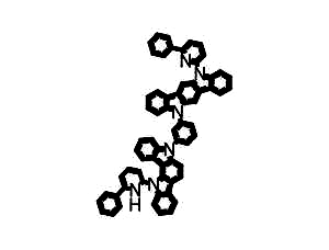 C1=CC(n2c3ccccc3c3ccc4c(c5ccccc5n4-c4cccc(-n5c6ccccc6c6cc7c(cc65)c5ccccc5n7-c5cccc(-c6ccccc6)n5)c4)c32)NC(c2ccccc2)=C1